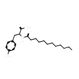 CCCCCCCCCCCC(=O)NC(Cc1ccc(O)cc1)C(=O)O